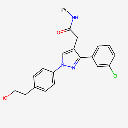 CC(C)NC(=O)Cc1cn(-c2ccc(CCO)cc2)nc1-c1cccc(Cl)c1